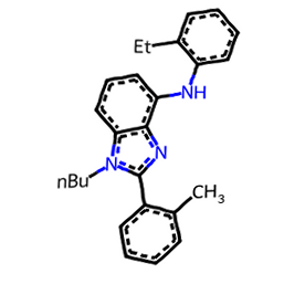 CCCCn1c(-c2ccccc2C)nc2c(Nc3ccccc3CC)cccc21